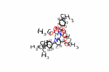 COC(=O)CN(C(C)c1nc(-c2ccc(C(C)(C)C)cc2)ccc1C(=O)OC)S(=O)(=O)c1ccc(C)cc1